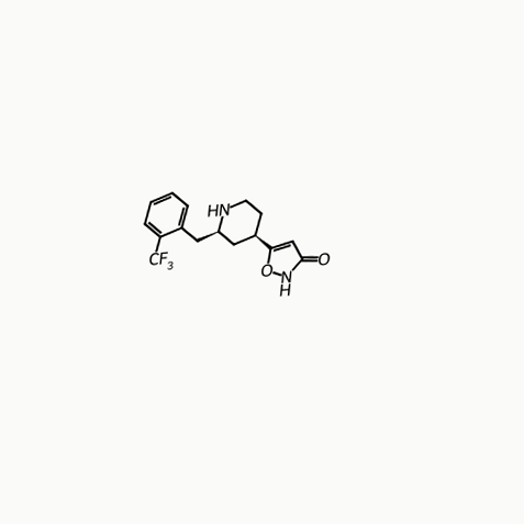 O=c1cc([C@@H]2CCN[C@H](Cc3ccccc3C(F)(F)F)C2)o[nH]1